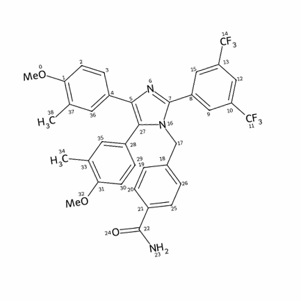 COc1ccc(-c2nc(-c3cc(C(F)(F)F)cc(C(F)(F)F)c3)n(Cc3ccc(C(N)=O)cc3)c2-c2ccc(OC)c(C)c2)cc1C